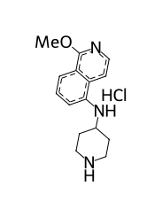 COc1nccc2c(NC3CCNCC3)cccc12.Cl